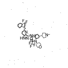 CN1CCC(c2ccc(C(=O)Nc3n[nH]c4ccc(Sc5ccccc5C(F)(F)F)nc34)c(N(C(=O)C(F)(F)F)C3CCOCC3)c2)CC1